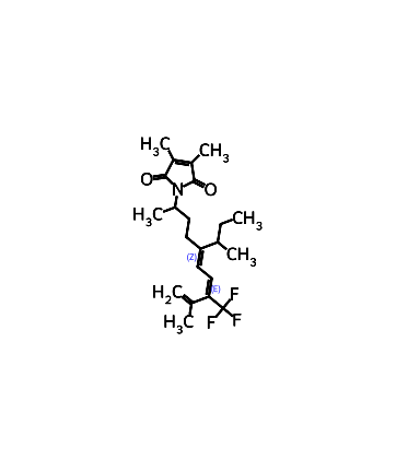 C=C(C)/C(=C\C=C(\CCC(C)N1C(=O)C(C)=C(C)C1=O)C(C)CC)C(F)(F)F